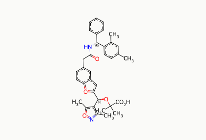 Cc1ccc([C@H](NC(=O)Cc2ccc3oc([C@@H](OC(C)(C)C(=O)O)c4c(C)noc4C)cc3c2)c2ccccc2)c(C)c1